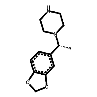 C[C@H](c1ccc2c(c1)OCO2)N1CCNCC1